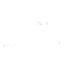 O=C(O)CC(CCl)C(=O)O.[NaH]